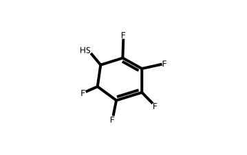 FC1=C(F)C(F)C(S)C(F)=C1F